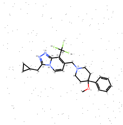 COC1(c2ccccc2)CCN(Cc2ccn3c(CC4CC4)nnc3c2C(F)(F)F)CC1